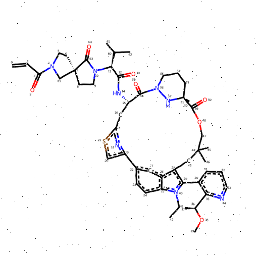 C=CC(=O)N1CC[C@]2(CCN([C@H](C(=O)N[C@H]3Cc4nc(cs4)-c4ccc5c(c4)c(c(-c4cccnc4[C@H](C)OC)n5CC)CC(C)(C)COC(=O)[C@@]4(C)CCCN(N4)C3=O)C(C)C)C2=O)C1